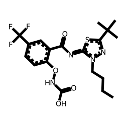 CCCCn1nc(C(C)(C)C)sc1=NC(=O)c1cc(C(F)(F)F)ccc1ONC(=O)O